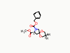 [2H]C1([2H])COC2(C[C@@H](C(=O)OC)N(C(=O)OCc3ccccc3)C2)OC1